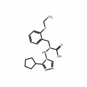 CCOc1ccccc1CN(Nn1cnnc1C1CCCC1)C(=O)O